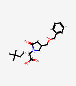 CC(C)(C)CC[C@@H](C(=O)O)N1CC(COCc2ccccc2)CC1=O